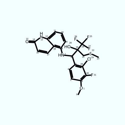 COc1ccc(C(Nc2cccc3[nH]c(=O)ccc23)C(O)(CSC)C(F)(F)F)c(Cl)c1F